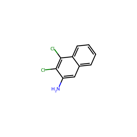 Nc1cc2ccccc2c(Cl)c1Cl